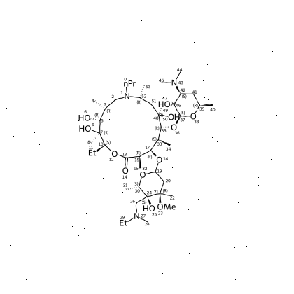 CCCN1C[C@@H](C)[C@@H](O)[C@](C)(O)[C@H](CC)OC(=O)[C@H](C)[C@H](OC2C[C@@](C)(OC)[C@](O)(CN(C)CC)[C@H](C)O2)[C@H](C)[C@@H](O[C@@H]2O[C@H](C)C[C@H](N(C)C)[C@H]2O)[C@](C)(O)C[C@H]1C